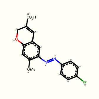 COc1cc2c(cc1N=Nc1ccc(Br)cc1)C=C(C(=O)O)CO2